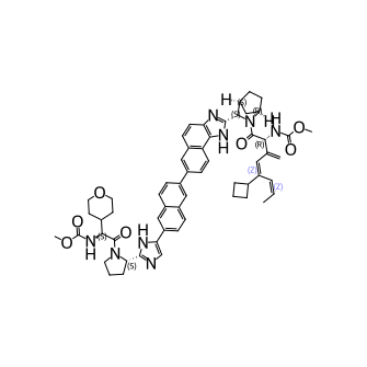 C=C(/C=C(\C=C/C)C1CCC1)[C@@H](NC(=O)OC)C(=O)N1[C@@H]2CC[C@@H](C2)[C@H]1c1nc2ccc3cc(-c4ccc5cc(-c6cnc([C@@H]7CCCN7C(=O)[C@@H](NC(=O)OC)C7CCOCC7)[nH]6)ccc5c4)ccc3c2[nH]1